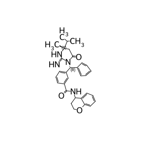 CC(C)[C@]1(C)CC(=O)N([C@H](c2ccccc2)c2cccc(C(=O)NC3CCOc4ccccc43)c2)C(=N)N1